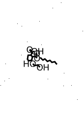 CCCCCCCCOC(=O)C1CCCCC1C(=O)O.OCCO